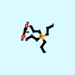 CCC[P+](CCC)(CCC)CCC.O=B[O-]